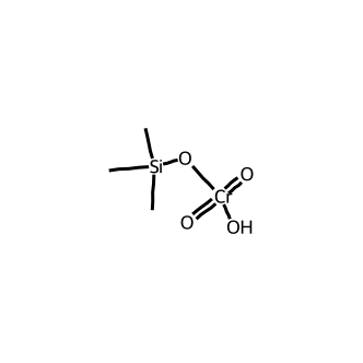 C[Si](C)(C)[O][Cr](=[O])(=[O])[OH]